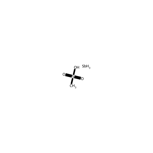 CS(=O)(=O)O.[SbH3]